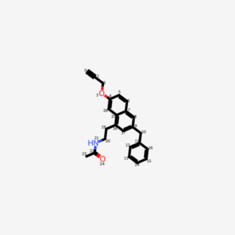 C#CCOc1ccc2cc(Cc3ccccc3)cc(CCNC(C)=O)c2c1